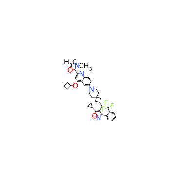 CN(C)C(=O)c1cc(OC2CCC2)c2cc(N3CCC4(CC3)CC(Cc3c(-c5ccccc5C(F)(F)F)noc3C3CC3)C4)ccc2n1